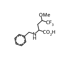 COC(CC(NCc1ccccc1)C(=O)O)C(F)(F)F